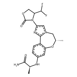 C[C@H](Nc1ccc2c(c1)O[C@@H](C)Cn1cc(N3C(=O)OCC3C(F)F)nc1-2)C(N)=O